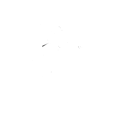 COC(=O)N[C@@H](Cc1ccc(C(F)(F)F)cc1)C(N)=O